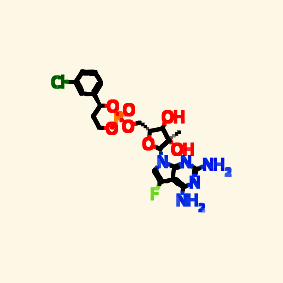 C[C@@]1(O)[C@H](O)[C@@H](COP2(=O)OCC[C@@H](c3cccc(Cl)c3)O2)O[C@H]1n1cc(F)c2c(N)nc(N)nc21